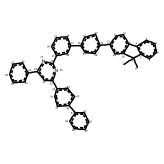 CC1(C)c2ccccc2-c2ccc(-c3ccc(-c4cccc(-c5nc(-c6ccccc6)cc(-c6ccc(-c7ccccc7)cc6)n5)c4)cc3)cc21